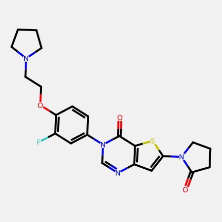 O=C1CCCN1c1cc2ncn(-c3ccc(OCCN4CCCC4)c(F)c3)c(=O)c2s1